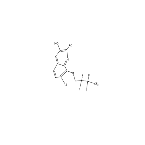 CC(=O)c1nc2c(OCC(F)(F)C(F)(F)C(F)(F)F)c(Cl)ccc2cc1O